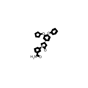 NC(=O)c1cccc(N2C[C@H](c3ccc(Oc4ccccc4)c(OC4CCCC4)c3)CC2=O)c1